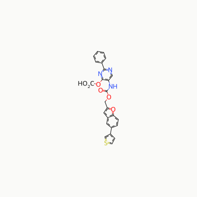 O=C(O)Oc1nc(-c2ccccc2)ncc1NC(=O)OCc1cc2cc(-c3ccsc3)ccc2o1